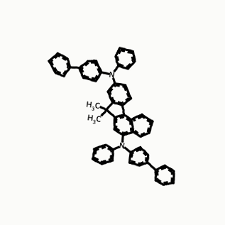 CC1(C)c2cc(N(c3ccccc3)c3ccc(-c4ccccc4)cc3)ccc2-c2c1cc(N(c1ccccc1)c1ccc(-c3ccccc3)cc1)c1ccccc21